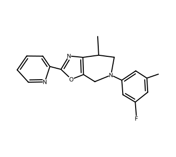 Cc1cc(F)cc(N2Cc3oc(-c4ccccn4)nc3C(C)C2)c1